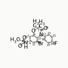 CC1(C)Oc2cc(NS(C)(=O)=O)cc(Br)c2N(c2ccc(F)cc2)C1=O